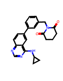 O=C1CCCC(=O)N1Cc1cccc(-c2ccc3ncnc(NC4CC4)c3c2)c1